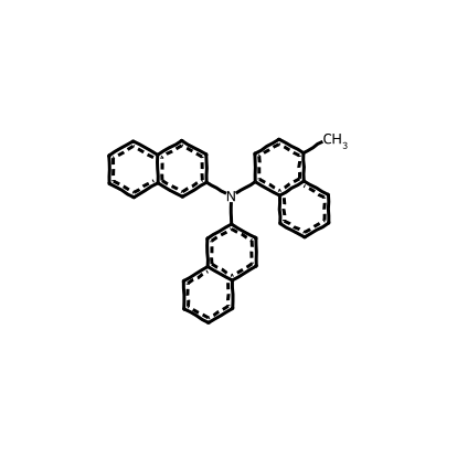 Cc1ccc(N(c2ccc3ccccc3c2)c2ccc3ccccc3c2)c2ccccc12